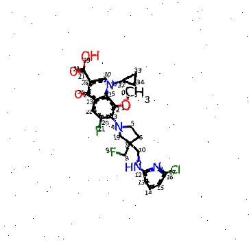 COc1c(N2CCC(CF)(CNc3cccc(Cl)n3)C2)c(F)cc2c(=O)c(C(=O)O)cn(C3CC3)c12